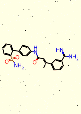 C/C(=C\C(=O)Nc1ccc(-c2ccccc2S(N)(=O)=O)cc1)c1cccc(C(=N)N)c1